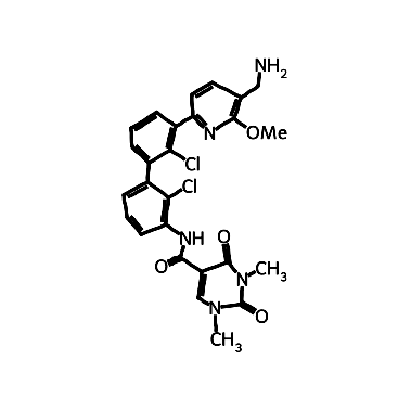 COc1nc(-c2cccc(-c3cccc(NC(=O)c4cn(C)c(=O)n(C)c4=O)c3Cl)c2Cl)ccc1CN